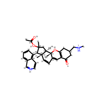 CNCC1CC(=O)C2=C(C1)O[C@@H]1C(=C2)C=C[C@@]2(C)[C@H]1CC(C)(OC(C)=O)[C@@H]2c1cccc2cnccc12